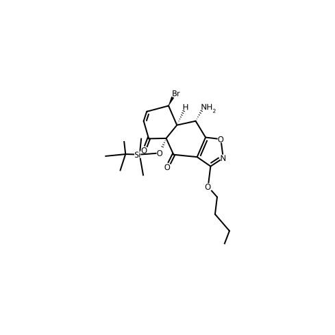 CCCCOc1noc2c1C(=O)[C@@]1(O[Si](C)(C)C(C)(C)C)C(=O)C=C[C@@H](Br)[C@H]1[C@@H]2N